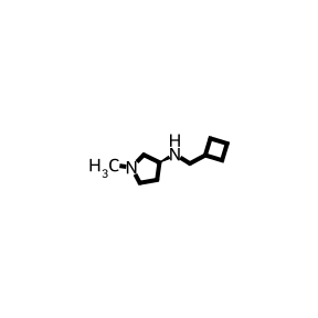 CN1CC[C@H](NCC2CCC2)C1